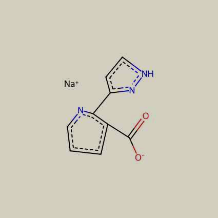 O=C([O-])c1cccnc1-c1cc[nH]n1.[Na+]